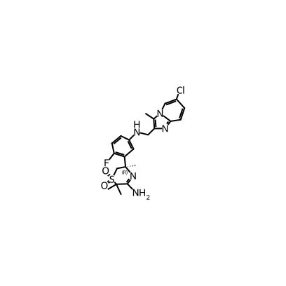 Cc1c(CNc2ccc(F)c([C@]3(C)CS(=O)(=O)C(C)(C)C(N)=N3)c2)nc2ccc(Cl)cn12